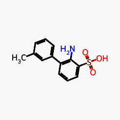 Cc1cccc(-c2cccc(S(=O)(=O)O)c2N)c1